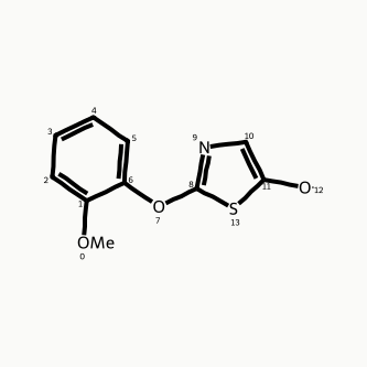 COc1ccccc1Oc1ncc([O])s1